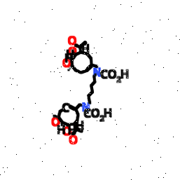 C=C1C(=O)O[C@H]2[C@H]1CC/C(CN(CCCCCCN(C/C1=C/CC[C@@]3(C)O[C@H]3[C@H]3OC(=O)C(=C)[C@@H]3CC1)C(=O)O)C(=O)O)=C\CC[C@@]1(C)O[C@@H]21